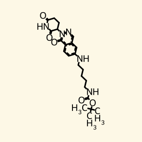 CC(C)(C)OC(=O)NCCCCCNc1ccc2c(=O)n(C3CCC(=O)NC3=O)ncc2c1